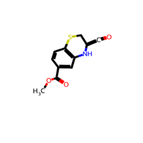 COC(=O)c1ccc2c(c1)NC(=C=O)CS2